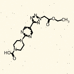 CCOC(=O)Cn1nnc(-c2cnc(N3CCN(C(=O)O)CC3)nc2)n1